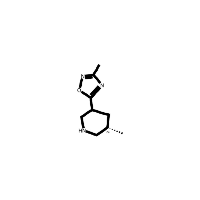 Cc1noc(C2CNC[C@@H](C)C2)n1